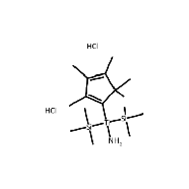 CC1=C(C)C(C)(C)[C]([Ti]([NH2])([Si](C)(C)C)[Si](C)(C)C)=C1C.Cl.Cl